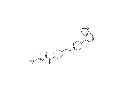 CC(C)=CC(=O)NC1CCC(CCN2CCC(c3cccc4c3CCO4)CC2)CC1